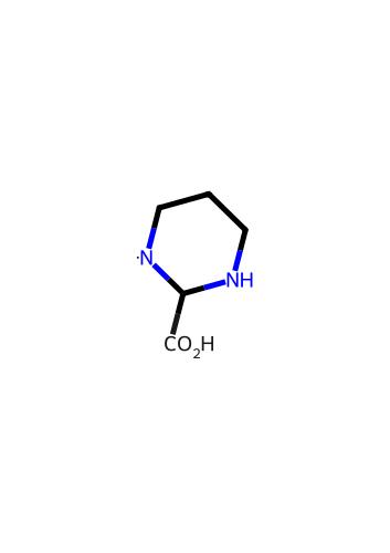 O=C(O)C1[N]CCCN1